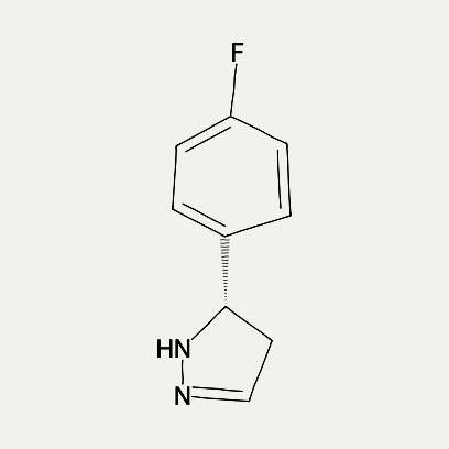 Fc1ccc([C@@H]2CC=NN2)cc1